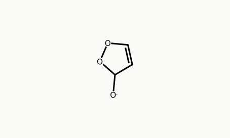 [O]C1C=COO1